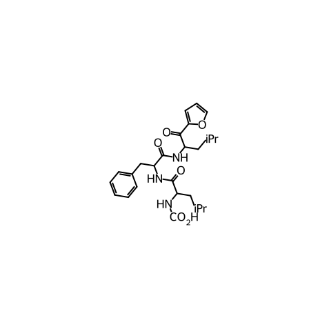 CC(C)CC(NC(=O)O)C(=O)NC(Cc1ccccc1)C(=O)NC(CC(C)C)C(=O)c1ccco1